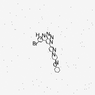 Nc1ncnc2nc(-c3ccc(N4CCC(=NOC5CCCCC5)CC4)nc3)cc(-c3cccc(Br)c3)c12